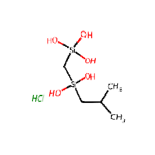 CC(C)C[Si](O)(O)C[Si](O)(O)O.Cl